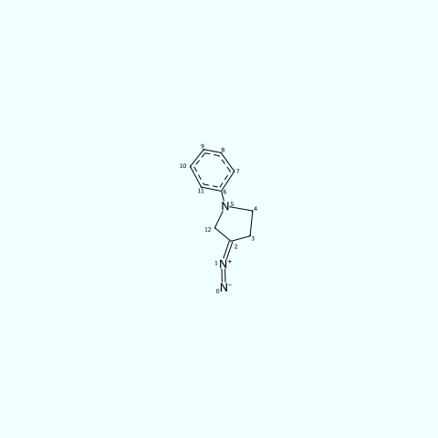 [N-]=[N+]=C1CCN(c2ccccc2)C1